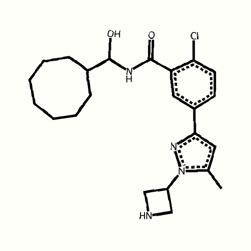 Cc1cc(-c2ccc(Cl)c(C(=O)NC(O)C3CCCCCCC3)c2)nn1C1CNC1